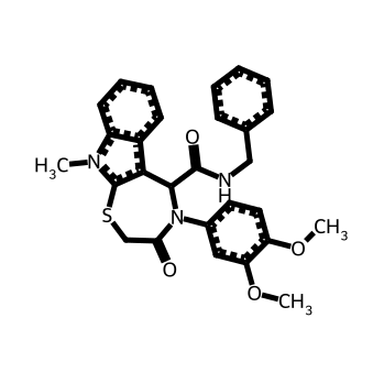 COc1ccc(N2C(=O)CSc3c(c4ccccc4n3C)C2C(=O)NCc2ccccc2)cc1OC